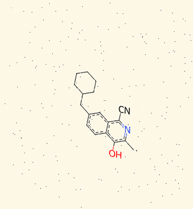 [CH2]c1nc(C#N)c2cc(CC3CCCCC3)ccc2c1O